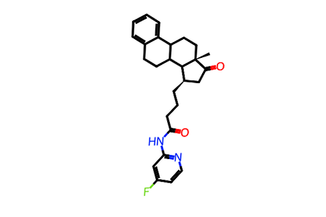 C[C@]12CCC3c4ccccc4CCC3C1[C@H](CCCC(=O)Nc1cc(F)ccn1)CC2=O